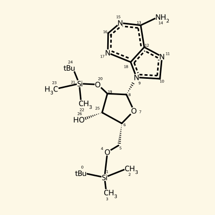 CC(C)(C)[Si](C)(C)OC[C@H]1O[C@@H](n2cnc3c(N)ncnc32)C(O[Si](C)(C)C(C)(C)C)[C@H]1O